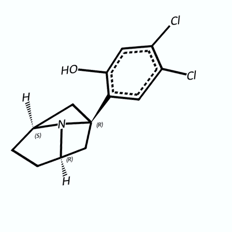 Oc1cc(Cl)c(Cl)cc1[C@]12C[C@H]3CC[C@@H](C1)N32